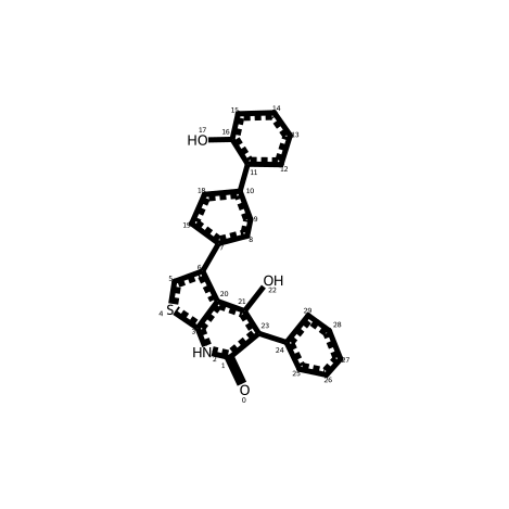 O=c1[nH]c2scc(-c3ccc(-c4ccccc4O)cc3)c2c(O)c1-c1ccccc1